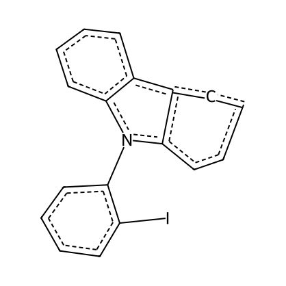 Ic1ccccc1-n1c2ccccc2c2ccccc21